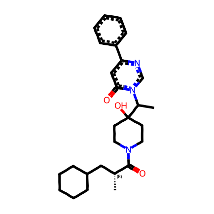 CC(n1cnc(-c2ccccc2)cc1=O)C1(O)CCN(C(=O)[C@H](C)CC2CCCCC2)CC1